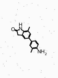 Cc1cc(-c2cc(C)c3c(c2)CC(=O)N3)ccc1N